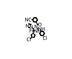 N#Cc1cccc(C(=O)/N=C(\Nc2ccc(Cl)cc2)N[C@](F)(Cn2ccnc2)C2C=CC(Cl)=C2)c1